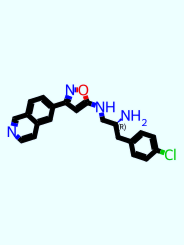 N[C@@H](CNc1cc(-c2ccc3cnccc3c2)no1)Cc1ccc(Cl)cc1